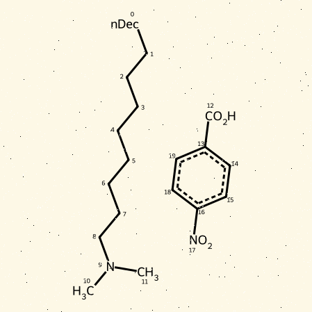 CCCCCCCCCCCCCCCCCCN(C)C.O=C(O)c1ccc([N+](=O)[O-])cc1